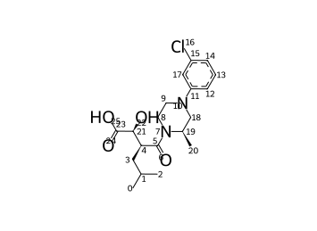 CC(C)C[C@H](C(=O)N1CCN(c2cccc(Cl)c2)C[C@H]1C)[C@H](O)C(=O)O